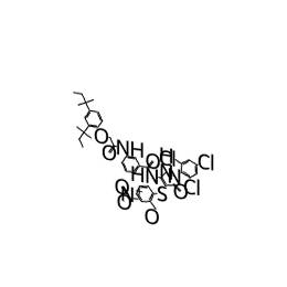 CCC(C)(C)c1ccc(OCC(=O)Nc2cccc(C(=O)Nc3[nH]n(-c4c(Cl)cc(Cl)cc4Cl)c(=O)c3Sc3ccc([N+](=O)[O-])cc3C=O)c2)c(C(C)(C)CC)c1